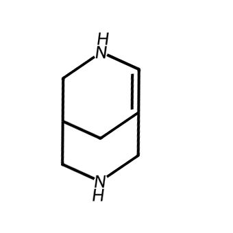 C1=C2CNCC(CN1)C2